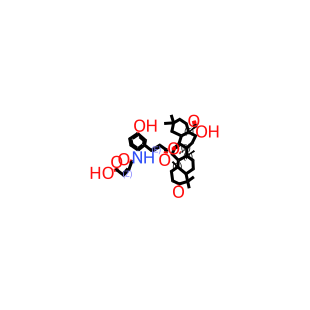 CC1(C)CC[C@]2(C(=O)O)CC[C@]3(COC(=O)/C=C/c4cc(O)ccc4NC(=O)/C=C\C(=O)O)C(=CCC4[C@@]5(C)CCC(=O)C(C)(C)C5CC[C@]43C)C2C1